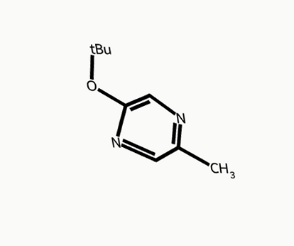 Cc1cnc(OC(C)(C)C)cn1